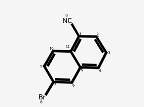 N#Cc1[c]ccc2cc(Br)ccc12